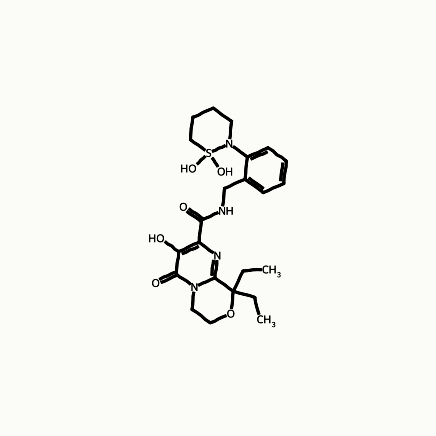 CCC1(CC)OCCn2c1nc(C(=O)NCc1ccccc1N1CCCCS1(O)O)c(O)c2=O